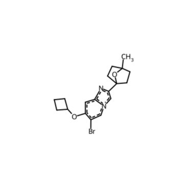 CC12CCC(c3cn4cc(Br)c(OC5CCC5)cc4n3)(CC1)O2